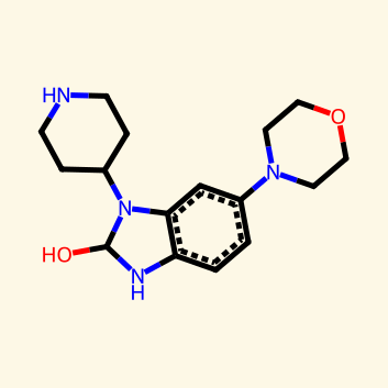 OC1Nc2ccc(N3CCOCC3)cc2N1C1CCNCC1